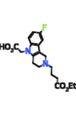 CCOC(=O)CCCN1CCc2c(c3cc(F)ccc3n2CC(=O)O)C1